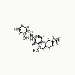 CCN(CC1CCC2(CC1)CC2(F)F)c1ncnc(NC[C@H]2CCNC[C@@H]2O)c1F